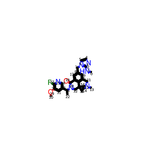 CNc1nccn1Cc1cc(CN(C)C)c2c(c1)C(=O)N(C(C)c1cnc(F)c(OC)c1)CC21CC1